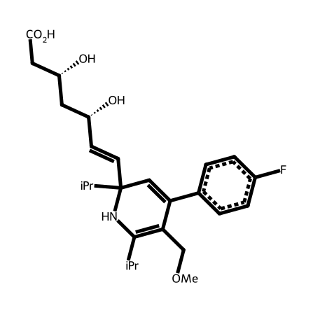 COCC1=C(C(C)C)NC(/C=C/[C@@H](O)C[C@@H](O)CC(=O)O)(C(C)C)C=C1c1ccc(F)cc1